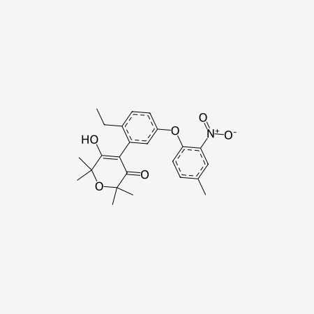 CCc1ccc(Oc2ccc(C)cc2[N+](=O)[O-])cc1C1=C(O)C(C)(C)OC(C)(C)C1=O